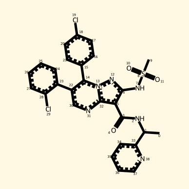 CC(NC(=O)c1c(NS(C)(=O)=O)nn2c(-c3ccc(Cl)cc3)c(-c3ccccc3Cl)cnc12)c1ccccn1